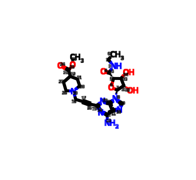 CCNC(=O)[C@H]1O[C@@H](n2cnc3c(N)nc(C#CCN4CCC(C(=O)OC)CC4)nc32)[C@@H](O)C1O